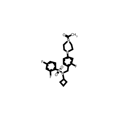 CC(=O)N1CCN(c2ccc(CN(C3CCC3)S(=O)(=O)c3ccc(F)cc3F)c(F)c2)CC1